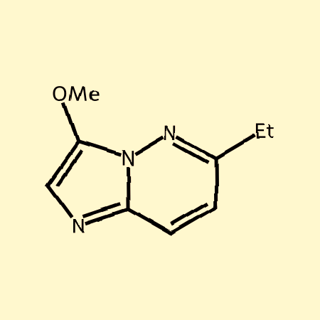 CCc1ccc2ncc(OC)n2n1